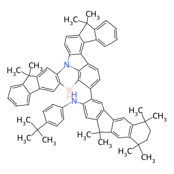 CC(C)(C)c1ccc(Nc2cc3c(cc2-c2ccc4c5c6c(ccc5n5c4c2Bc2cc4c(cc2-5)C(C)(C)c2ccccc2-4)C(C)(C)c2ccccc2-6)-c2cc4c(cc2C3(C)C)C(C)(C)CCC4(C)C)cc1